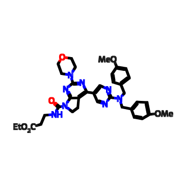 CCOC(=O)CCNC(=O)N1CCc2c(-c3cnc(N(Cc4ccc(OC)cc4)Cc4ccc(OC)cc4)nc3)nc(N3CCOCC3)nc21